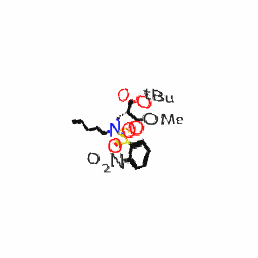 C=CCCCN(C[C@@H](C(=O)OC)C(=O)OC(C)(C)C)S(=O)(=O)c1ccccc1[N+](=O)[O-]